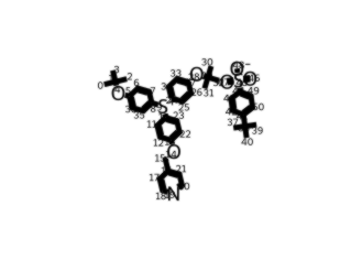 CC(C)(C)Oc1ccc([S+](c2ccc(OCc3ccncc3)cc2)c2ccc(OC(C)(C)C)cc2)cc1.CC(C)(C)c1ccc(S(=O)(=O)[O-])cc1